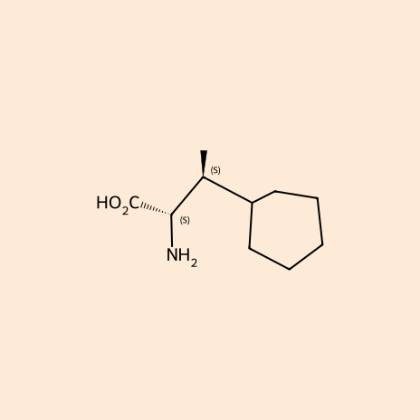 C[C@@H](C1CCCCC1)[C@H](N)C(=O)O